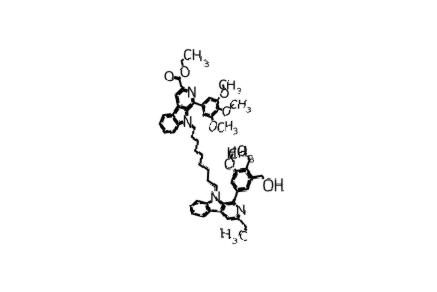 CCOC(=O)c1cc2c3ccccc3n(CCCCCCCCCn3c4ccccc4c4cc(CC)nc(-c5cc(CO)c(CO)c(OC)c5)c43)c2c(-c2cc(OC)c(OC)c(OC)c2)n1